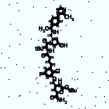 Cc1ncsc1-c1ccc([C@H](C)NC[C@@H]2C[C@@H](O)CN2C(=O)[C@@H](NC(=O)CCCc2cc(F)cc(OC[C@H](CCC(N)=O)NC(=O)OC(C)(C)C)c2Cl)C(C)(C)C)cc1